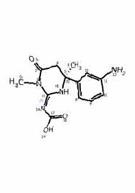 CN1C(=O)C[C@@](C)(c2cccc(N)c2)N/C1=N\C(=O)O